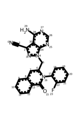 N#Cc1nn(Cc2cc3ccccc3c(=O)n2-c2ccccc2F)c2ncnc(N)c12